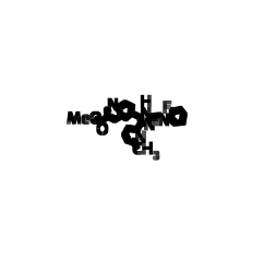 COC(=O)c1cnc2ccc(-c3[nH]c(CNc4ccccc4F)nc3-c3cccc(C)n3)cc2c1